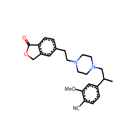 COc1cc(C(C)CN2CCN(CCc3ccc4c(c3)COC4=O)CC2)ccc1C#N